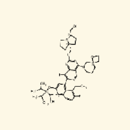 CCc1c(F)ccc2cc(O[Si](C(C)C)(C(C)C)C(C)C)cc(-c3ncc4c(N5CCC[C@@]6(CCO6)C5)nc(OC[C@]56CCCN5[C@@H](CO)CC6)nc4c3F)c12